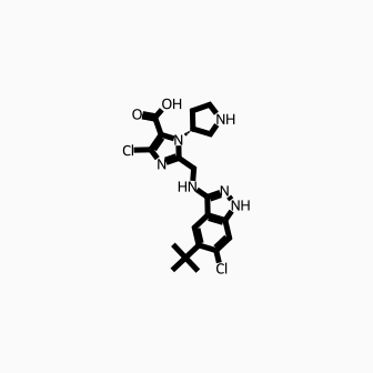 CC(C)(C)c1cc2c(NCc3nc(Cl)c(C(=O)O)n3[C@@H]3CCNC3)n[nH]c2cc1Cl